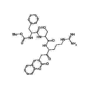 CC(C)(C)OC(=O)NC(Cc1ccccc1)C(=O)NC(CO)C(=O)NC(CCCNC(=N)N)C(=O)Cc1cc2ccccc2oc1=O